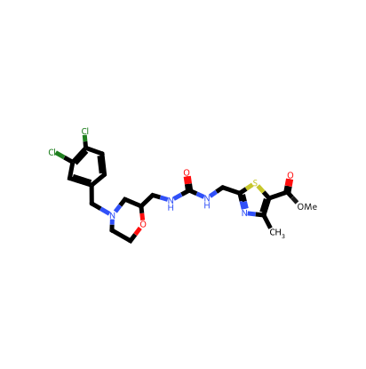 COC(=O)c1sc(CNC(=O)NCC2CN(Cc3ccc(Cl)c(Cl)c3)CCO2)nc1C